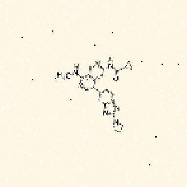 CNc1ncc(-c2ccn3nc(N4CCC4)nc3c2)c2cc(NC(=O)C3CC3)ncc12